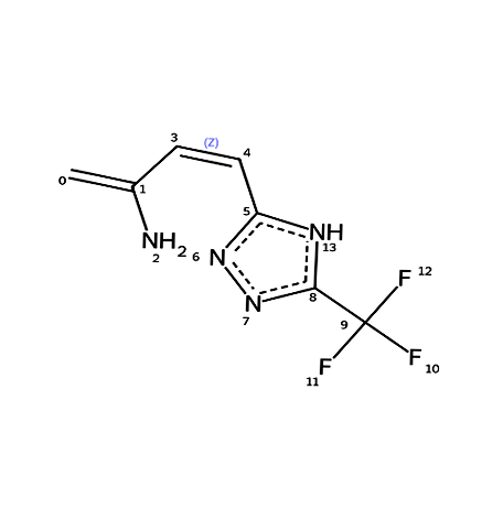 C=C(N)/C=C\c1nnc(C(F)(F)F)[nH]1